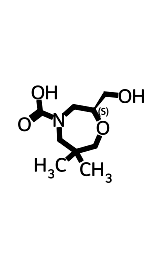 CC1(C)CO[C@H](CO)CN(C(=O)O)C1